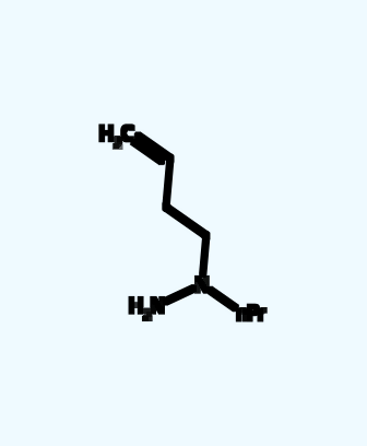 C=CCCN(N)CCC